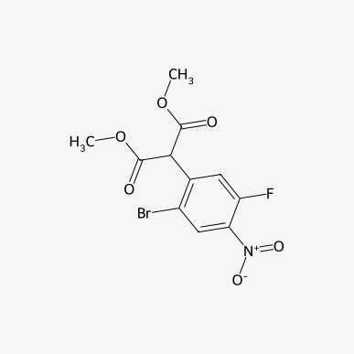 COC(=O)C(C(=O)OC)c1cc(F)c([N+](=O)[O-])cc1Br